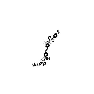 COCC(=O)N1CCC[C@H]1C(=O)Nc1ccc(/C=C/c2ccc(NC(=O)[C@@H]3CCCN3C(=O)c3ccc(N(C)C)cc3)cc2)cc1